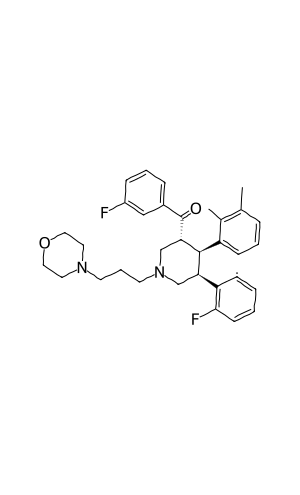 Cc1cccc([C@@H]2[C@@H](C(=O)c3cccc(F)c3)CN(CCCN3CCOCC3)C[C@@H]2c2[c]cccc2F)c1C